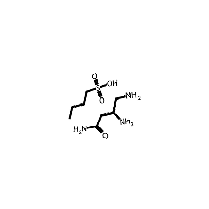 CCCCS(=O)(=O)O.NCC(N)CC(N)=O